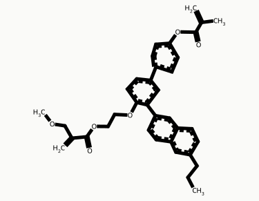 C=C(C)C(=O)Oc1ccc(-c2ccc(OCCOC(=O)C(=C)COC)c(-c3ccc4cc(CCC)ccc4c3)c2)cc1